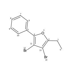 CCc1oc(-c2ccccc2)c(Br)c1Br